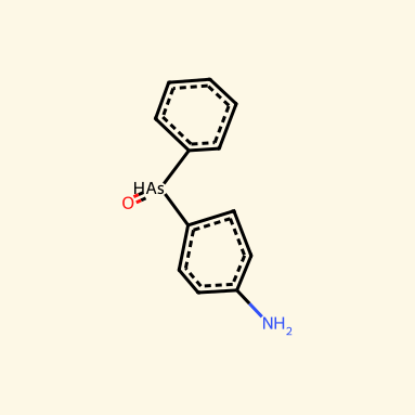 Nc1ccc([AsH](=O)c2ccccc2)cc1